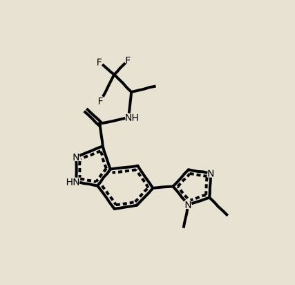 C=C(NC(C)C(F)(F)F)c1n[nH]c2ccc(-c3cnc(C)n3C)cc12